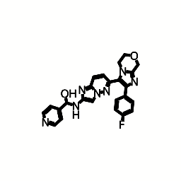 OC(Nc1cn2nc(-c3c(-c4ccc(F)cc4)nc4n3CCOC4)ccc2n1)c1ccncc1